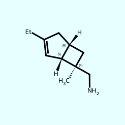 CCC1=C[C@@H]2[C@H](C1)C[C@@]2(C)CN